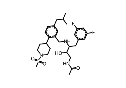 CC(=O)NCC(O)C(Cc1cc(F)cc(F)c1)NCc1cc(CC(C)C)ccc1C1CCN(S(C)(=O)=O)CC1